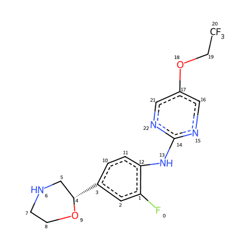 Fc1cc([C@H]2CNCCO2)ccc1Nc1ncc(OCC(F)(F)F)cn1